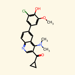 COc1cc(-c2ccc3ncc(C(=O)C4CC4)c(N(C)C)c3c2)cc(Cl)c1O